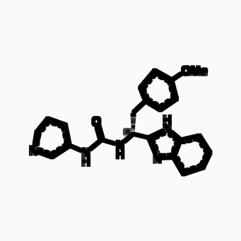 COc1ccc(C[C@@H](NC(=O)Nc2cccnc2)c2nc3ccccc3[nH]2)cc1